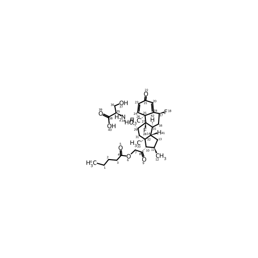 CCCCC(=O)OCC(=O)[C@H]1[C@H](C)C[C@H]2[C@@H]3C[C@H](F)C4=CC(=O)C=C[C@]4(C)[C@@]3(F)[C@@H](O)C[C@@]21C.N[C@H](CO)C(=O)O